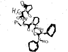 CC(C)C[C@H](NC(=O)[C@H](C)N1C(=O)CCC1=O)C(=O)N1CCC[C@H]1C(=O)N[C@@H](Cc1ccccc1)C(=O)N([N+]=O)c1ccccc1